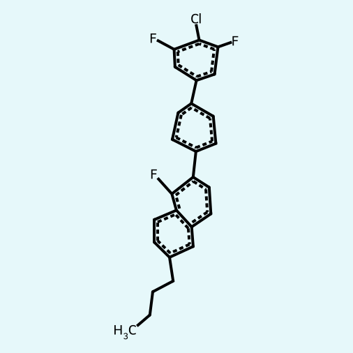 CCCCc1ccc2c(F)c(-c3ccc(-c4cc(F)c(Cl)c(F)c4)cc3)ccc2c1